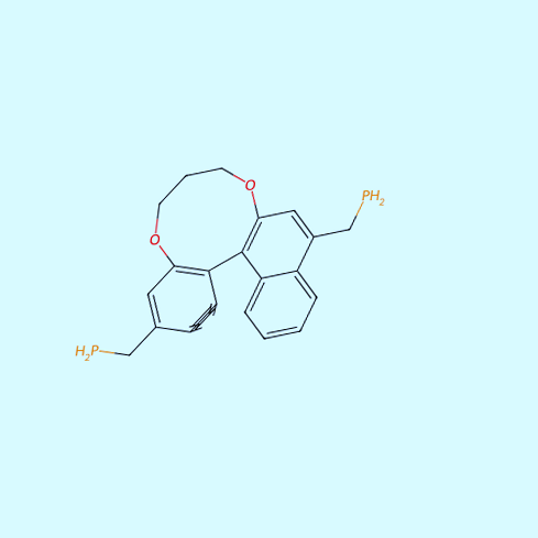 PCc1cc2c(c3ccccc13)-c1c(cc(CP)c3ccccc13)OCCCO2